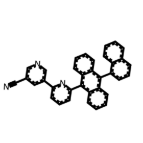 N#Cc1cncc(-c2cccc(-c3c4ccccc4c(-c4cccc5ccccc45)c4ccccc34)n2)c1